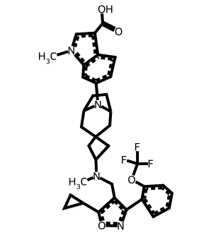 CN(Cc1c(-c2ccccc2OC(F)(F)F)noc1C1CC1)C1CC2(C1)CC1CCC(C2)N1c1ccc2c(C(=O)O)cn(C)c2c1